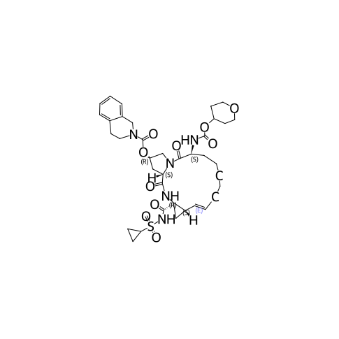 O=C(N[C@H]1CCCCC/C=C/[C@@H]2C[C@@]2(C(=O)NS(=O)(=O)C2CC2)NC(=O)[C@@H]2C[C@@H](OC(=O)N3CCc4ccccc4C3)CN2C1=O)OC1CCOCC1